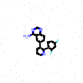 Nc1ncnc2ccc(-c3cccnc3-c3ccc(F)cc3F)cc12